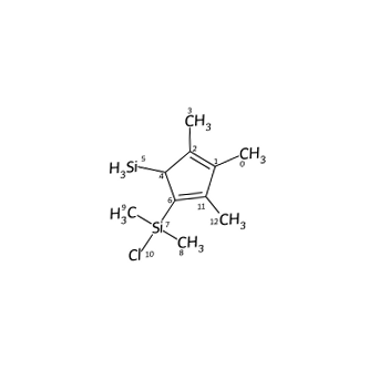 CC1=C(C)C([SiH3])C([Si](C)(C)Cl)=C1C